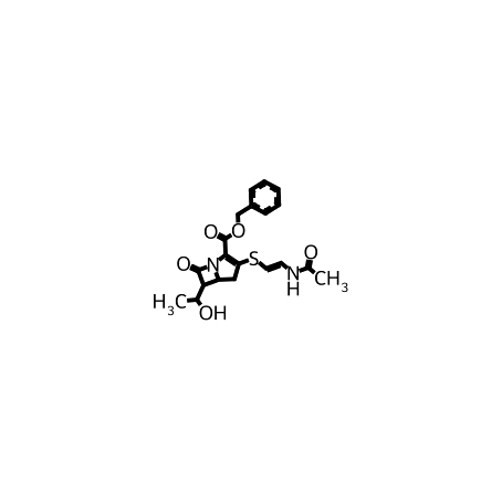 CC(=O)NC=CSC1=C(C(=O)OCc2ccccc2)N2C(=O)C(C(C)O)C2C1